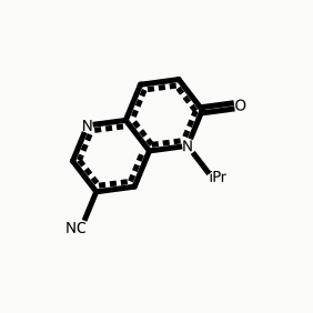 CC(C)n1c(=O)ccc2ncc(C#N)cc21